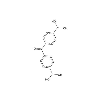 O=C(c1ccc(C(O)O)cc1)c1ccc(C(O)O)cc1